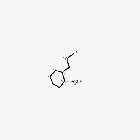 O=C(O)[C@@H]1CCCC[C@H]1COI